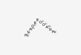 [Al+3].[Al+3].[B].[B].[O-2].[O-2].[O-2].[Pb].[Pb].[Si].[Si]